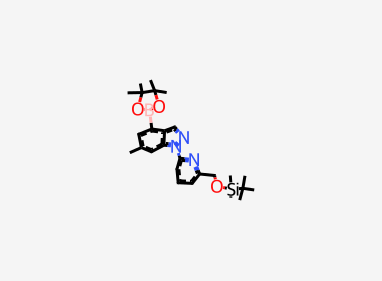 Cc1cc(B2OC(C)(C)C(C)(C)O2)c2cnn(-c3cccc(CO[Si](C)(C)C(C)(C)C)n3)c2c1